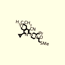 CSCC(=O)N1CCN(c2nc(C3CC3)c3c(c2C#N)CC(C)(C)OC3)CC1C(C)C